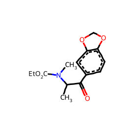 CCOC(=O)N(C)C(C)C(=O)c1ccc2c(c1)OCO2